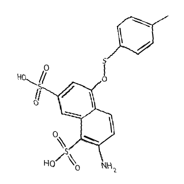 Cc1ccc(SOc2cc(S(=O)(=O)O)cc3c(S(=O)(=O)O)c(N)ccc23)cc1